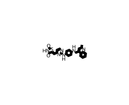 Cc1cc(CN[C@H]2CC[C@@H](Nc3nccc(/C=C4\SC(=O)NC4=O)n3)CC2)c2ccccc2n1